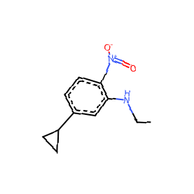 CCNc1cc(C2CC2)ccc1[N+](=O)[O-]